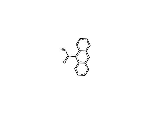 CC(C)(C)C(=O)c1c2ccccc2cc2ccccc12